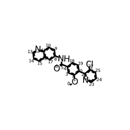 COc1cc(C(=O)Nc2ccc3ncccc3c2)ccc1-c1ncccc1Cl